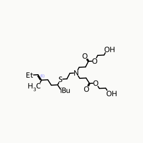 CC/C=C(\C)CCC(SCCN(CCC(=O)OCCO)CCC(=O)OCCO)C(C)CC